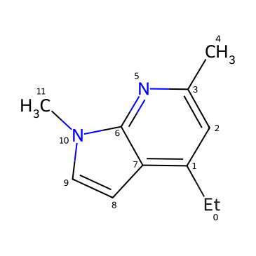 CCc1cc(C)nc2c1ccn2C